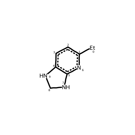 CCc1ccc2c(n1)NCN2